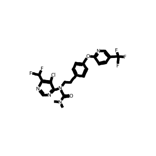 CN(C)C(=O)N(CCc1ccc(Oc2ccc(C(F)(F)F)cn2)cc1)c1ncnc(C(F)F)c1Cl